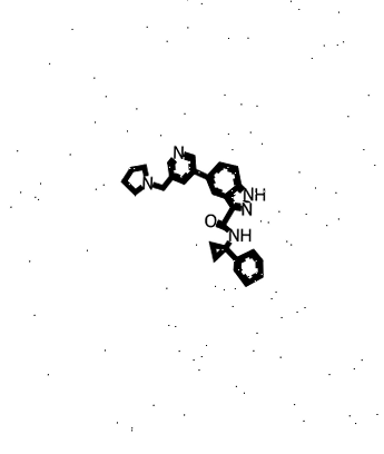 O=C(NC1(c2ccccc2)CC1)c1n[nH]c2ccc(-c3cncc(CN4CCCC4)c3)cc12